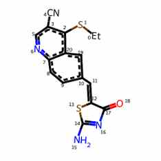 CCSc1c(C#N)cnc2ccc(/C=C3\SC(N)=NC3=O)cc12